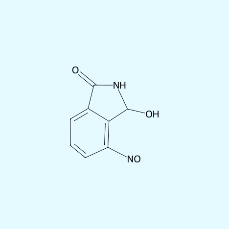 O=Nc1cccc2c1C(O)NC2=O